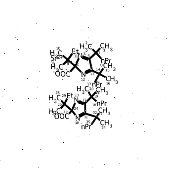 CCCC(C)(C)C1=NC(C(=O)[O-])(C(C)(C)CC)N=C1C(C)(C)CCC.CCCC(C)(C)C1=NC(C(=O)[O-])(C(C)(C)CC)N=C1C(C)(C)CCC.[Sr+2]